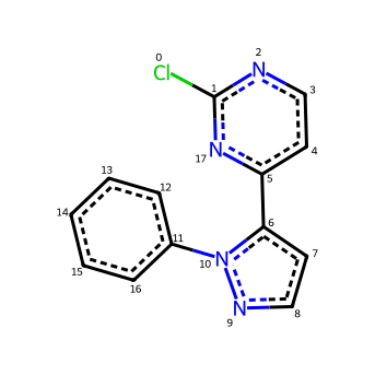 Clc1nccc(-c2ccnn2-c2ccccc2)n1